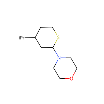 CC(C)C1CCSC(N2CCOCC2)C1